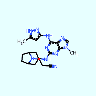 Cc1cc(Nc2nc(NC3CC4CCC(C3)N4CCC#N)nc3c2ncn3C)n[nH]1